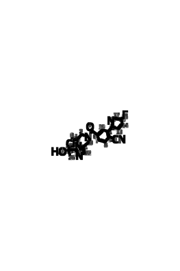 C[C@H]1CN(C(=O)c2ccc(C#N)c(-c3ccc(F)cn3)c2)Cc2cnc(C(C)(O)C(F)(F)F)n21